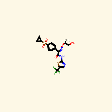 C[C@H](CO)O/N=C(/C(=O)Nc1ncc(C(F)(F)F)s1)c1ccc(S(=O)(=O)C2CC2)cc1